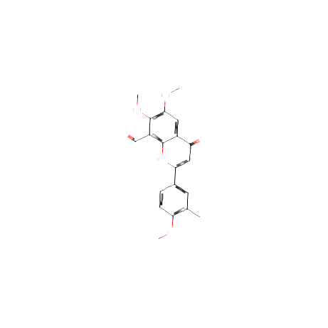 COc1ccc(-c2cc(=O)c3cc(OC)c(OC)c(C=O)c3o2)cc1C